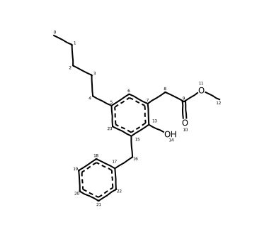 CCCCCc1cc(CC(=O)OC)c(O)c(Cc2ccccc2)c1